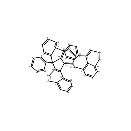 c1ccc(C2(c3ccccc3-c3ccc4c(c3)Oc3cccc5cccc-4c35)c3ccccc3-c3c2ccc2ccccc32)cc1